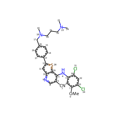 COc1cc(Nc2c(C#N)cnc3cc(-c4ccc(CN(C)CCCN(C)C)cc4)sc23)c(Cl)cc1Cl